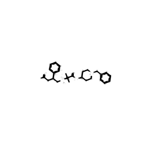 CC(C)(C(=O)NC1CCN(Cc2ccccc2)CC1)S(=O)(=O)CC(CC(=O)O)c1ccccc1